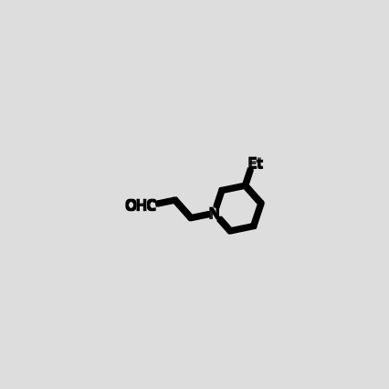 CCC1CCCN(CCC=O)C1